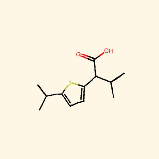 CC(C)c1ccc(C(C(=O)O)C(C)C)s1